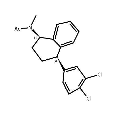 CC(=O)N(C)[C@@H]1CC[C@H](c2ccc(Cl)c(Cl)c2)c2ccccc21